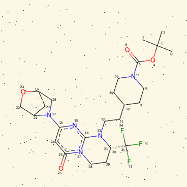 CC(C)(C)OC(=O)N1CCC(CCN2c3nc(N4CC5CC4CO5)cc(=O)n3CC[C@H]2C(F)(F)F)CC1